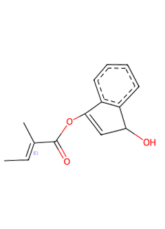 C/C=C(\C)C(=O)OC1=CC(O)c2ccccc21